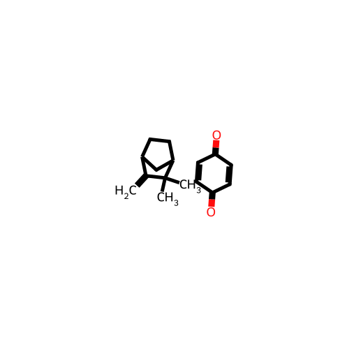 C=C1C2CCC(C2)C1(C)C.O=C1C=CC(=O)C=C1